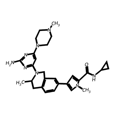 CC1Cc2ccc(-c3cc(C(=O)NC4CC4)n(C)c3)cc2CN1c1cc(N2CCN(C)CC2)nc(N)n1